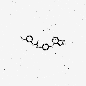 COc1cccc(NC(=O)Nc2ccc(ON3C=NC=C4NNC=C43)cc2)c1